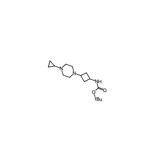 CC(C)(C)OC(=O)NC1CC(N2CCN(C3CC3)CC2)C1